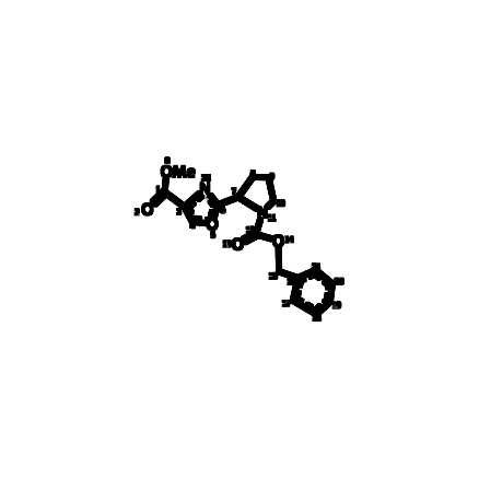 COC(=O)c1coc(C2CCCN2C(=O)OCc2ccccc2)n1